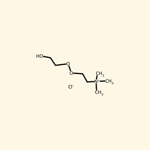 C[N+](C)(C)CCOOCCO.[Cl-]